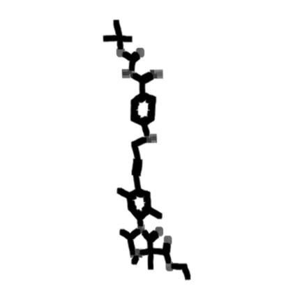 CCOC(=O)C(C)(NC)C(=O)N(c1cc(C)c(C#CCNc2ccc(C(=N)NC(=O)OC(C)(C)C)cc2)cc1C)C(C)C